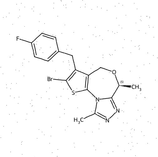 Cc1nnc2n1-c1sc(Br)c(Cc3ccc(F)cc3)c1CO[C@H]2C